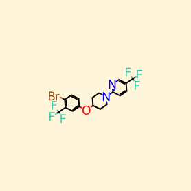 FC(F)(F)c1ccc(N2CCC(Oc3ccc(Br)c(C(F)(F)F)c3)CC2)nc1